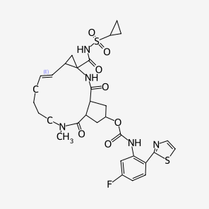 CN1CCCC/C=C/C2CC2(C(=O)NS(=O)(=O)C2CC2)NC(=O)C2CC(OC(=O)Nc3cc(F)ccc3-c3nccs3)CC2C1=O